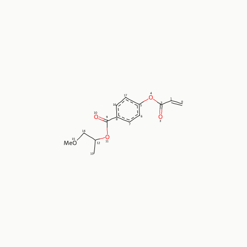 C=CC(=O)Oc1ccc(C(=O)OC(C)COC)cc1